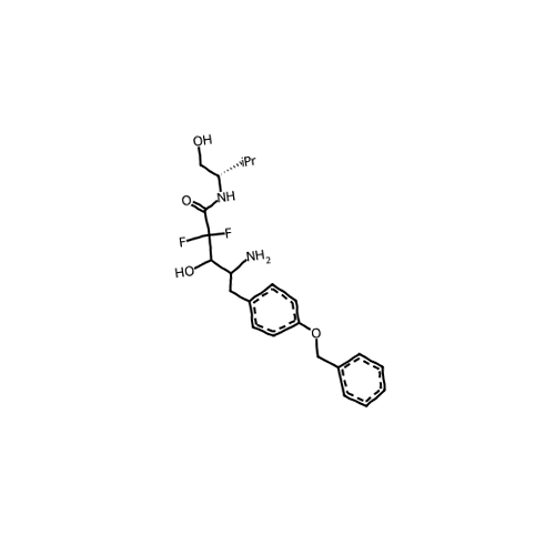 CC(C)[C@@H](CO)NC(=O)C(F)(F)C(O)C(N)Cc1ccc(OCc2ccccc2)cc1